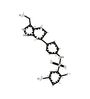 CCc1n[nH]c2nc(-c3ccc(NS(=O)(=O)c4cc(C)ccc4F)cc3)cnc12